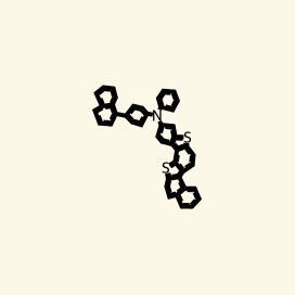 c1ccc(N(c2ccc(-c3cccc4ccccc34)cc2)c2ccc3c(c2)sc2ccc4c(sc5ccc6ccccc6c54)c23)cc1